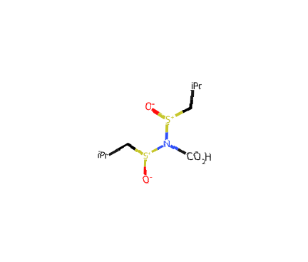 CC(C)C[S+]([O-])N(C(=O)O)[S+]([O-])CC(C)C